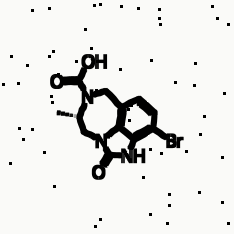 C[C@H]1Cn2c(=O)[nH]c3c(Br)ccc(c32)CN1C(=O)O